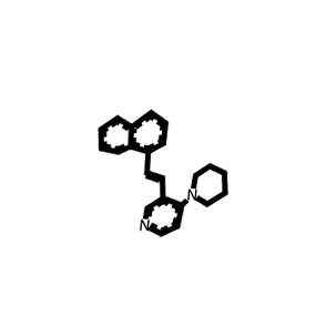 C(=Cc1cccc2ccccc12)c1cnccc1N1CCCCC1